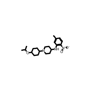 Cc1ccc([N+](=O)[O-])c(NC2CCN(C3CCC(OC(C)C)CC3)CC2)c1